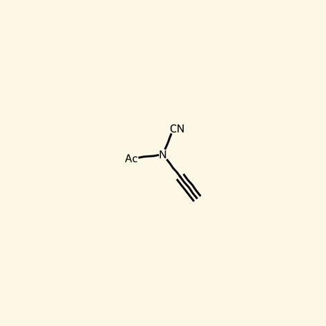 C#CN(C#N)C(C)=O